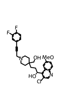 COc1ccc2ncc(Cl)c([C@@H](O)CCC3(CO)CCN(CC#Cc4ccc(F)c(F)c4)CC3)c2c1